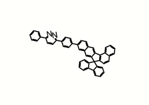 c1ccc(-c2ccc(-c3ccc(-c4ccc5cc6c(cc5c4)C4(c5ccccc5-c5ccccc54)c4ccc5ccccc5c4-6)cc3)nn2)cc1